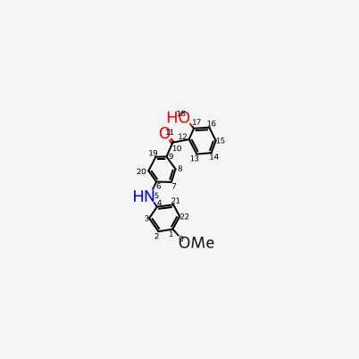 COc1ccc(Nc2ccc(C(=O)c3ccccc3O)cc2)cc1